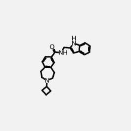 O=C(NCc1cc2ccccc2[nH]1)c1ccc2c(c1)CCN(C1CCC1)CC2